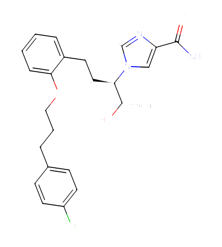 C[C@H](O)[C@@H](CCc1ccccc1OCCCc1ccc(Cl)cc1)n1cnc(C(N)=O)c1